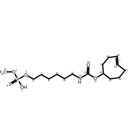 COP(O)(=S)OCCCCCCNC(=O)OC1CC/C=C/CCC1